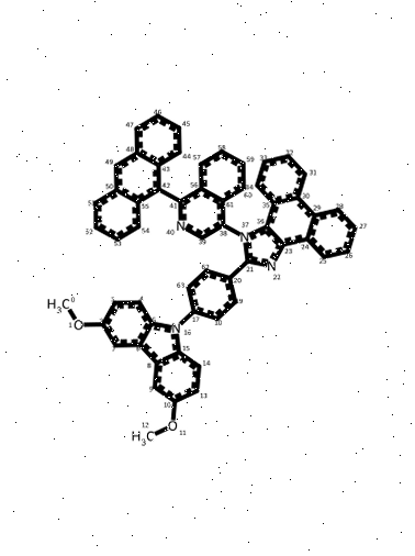 COc1ccc2c(c1)c1cc(OC)ccc1n2-c1ccc(-c2nc3c4ccccc4c4ccccc4c3n2-c2cnc(-c3c4ccccc4cc4ccccc34)c3ccccc23)cc1